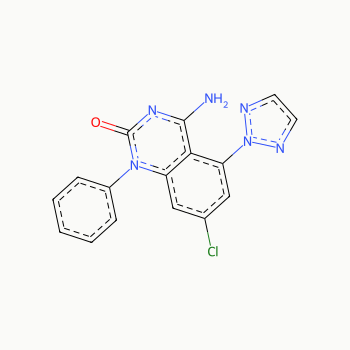 Nc1nc(=O)n(-c2ccccc2)c2cc(Cl)cc(-n3nccn3)c12